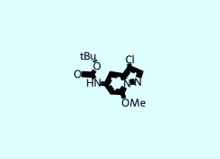 COc1cc(NC(=O)OC(C)(C)C)cc2c(Cl)cnn12